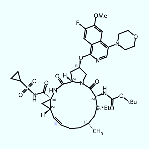 CC[C@@H]1C[C@H](C)CC/C=C\[C@@H]2C[C@@]2(C(=O)NS(=O)(=O)C2CC2)NC(=O)[C@@H]2C[C@@H](Oc3ncc(N4CCOCC4)c4cc(OC)c(F)cc34)CN2C(=O)[C@H]1NC(=O)OC(C)(C)C